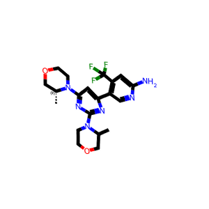 CC1COCCN1c1nc(-c2cnc(N)cc2C(F)(F)F)cc(N2CCOC[C@H]2C)n1